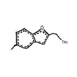 [CH2]c1ccc2oc(CO)cc2c1